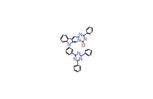 O=c1nc(-c2ccccc2)nc2cc3c4ccccc4n(-c4cccc(-c5nc(-c6ccccc6)nc(-c6ccccc6)n5)c4)c3cn12